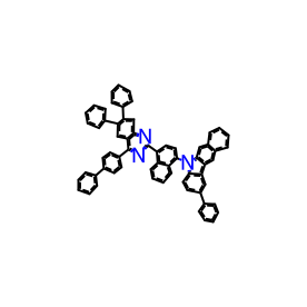 c1ccc(-c2ccc(-c3nc(-c4ccc(-n5c6ccc(-c7ccccc7)cc6c6cc7ccccc7cc65)c5ccccc45)nc4cc(-c5ccccc5)c(-c5ccccc5)cc34)cc2)cc1